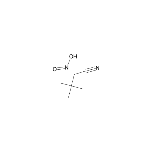 CC(C)(C)CC#N.O=NO